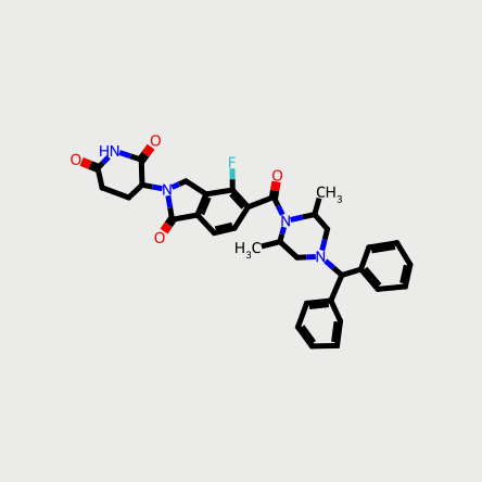 CC1CN(C(c2ccccc2)c2ccccc2)CC(C)N1C(=O)c1ccc2c(c1F)CN(C1CCC(=O)NC1=O)C2=O